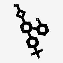 OC1CN(c2nnc(-c3ccc(C(F)(F)F)cc3)c(-c3ccncc3Cl)n2)C1